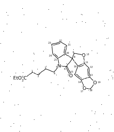 CCOC(=O)CCCCN1C(=O)C2(COc3cc4c(cc32)OCO4)c2ccccc21